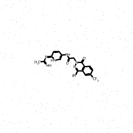 CC(=N)/N=c1/ccc(NC(=O)Cn2nc(C(C)C)c3cc(C(F)(F)F)ccc3c2=O)c[nH]1